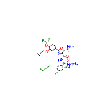 C[C@H](N)c1oc(-c2ccc(OC(F)F)c(OCC3CC3)c2)nc1C(=O)N[C@H](C(=O)NN)c1ccc(F)cc1F.Cl.Cl